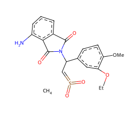 C.CCOc1cc(C(C=S(=O)=O)N2C(=O)c3cccc(N)c3C2=O)ccc1OC